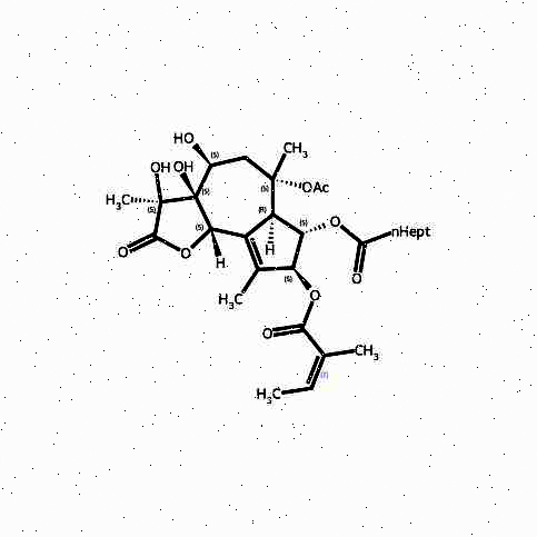 C/C=C(/C)C(=O)O[C@H]1C(C)=C2[C@H]([C@@H]1OC(=O)CCCCCCC)[C@@](C)(OC(C)=O)C[C@H](O)[C@]1(O)[C@H]2OC(=O)[C@@]1(C)O